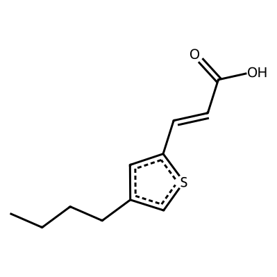 CCCCc1csc(/C=C/C(=O)O)c1